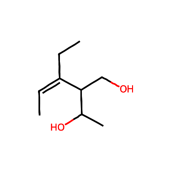 CC=C(CC)C(CO)C(C)O